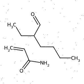 C=CC(N)=O.CCCCC(C=O)CC